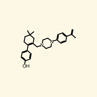 C=C(C)c1ccc(N2CCN(CC3=C(c4ccc(O)cc4)CCC(C)(C)C3)CC2)cc1